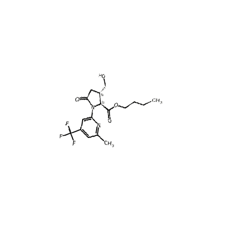 CCCCOC(=O)[C@@H]1[C@@H](CO)CC(=O)N1c1cc(C(F)(F)F)cc(C)n1